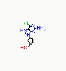 Nc1nc(Cl)c2c(n1)N([C@H]1C=C[C@@H](CO)C1)CN2